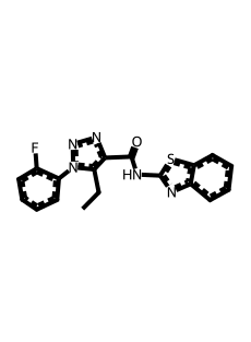 CCc1c(C(=O)Nc2nc3ccccc3s2)nnn1-c1ccccc1F